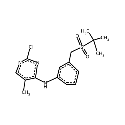 Cc1cnc(Cl)nc1Nc1cccc(CS(=O)(=O)C(C)(C)C)c1